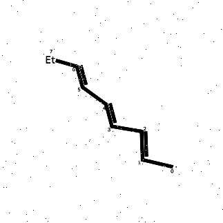 [CH2]C=CC=CC=CCC